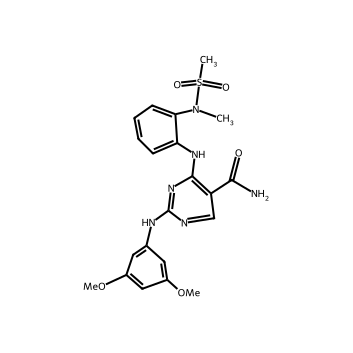 COc1cc(Nc2ncc(C(N)=O)c(Nc3ccccc3N(C)S(C)(=O)=O)n2)cc(OC)c1